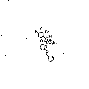 CCOC(=O)C1(c2cccc(OCc3ccccc3)n2)Oc2cc(F)c(Cl)c(Br)c2C1(C)O